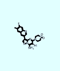 CC(=O)c1c(N2CCS(=O)(=O)CC2)nc2c(-c3cnc4cc(F)c(C)cc4c3)cnn2c1N